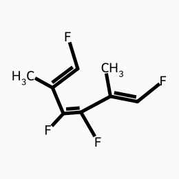 CC(=C\F)/C(F)=C(F)\C(C)=C\F